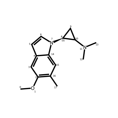 COc1cc2ccn([C@H]3CC3N(C)C)c2cc1C